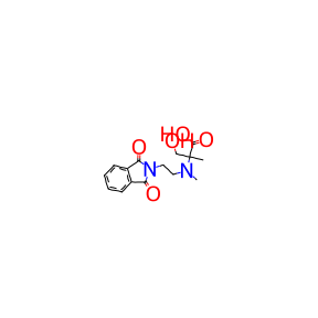 CN(CCN1C(=O)c2ccccc2C1=O)C(C)(CO)C(=O)O